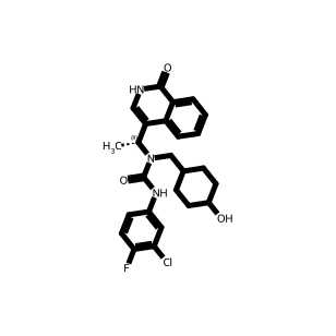 C[C@H](c1c[nH]c(=O)c2ccccc12)N(CC1CCC(O)CC1)C(=O)Nc1ccc(F)c(Cl)c1